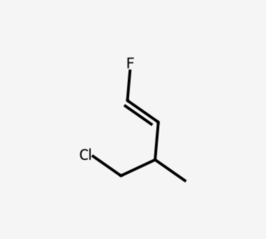 CC(C=CF)CCl